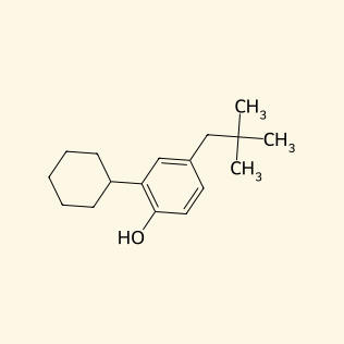 CC(C)(C)Cc1ccc(O)c(C2CCCCC2)c1